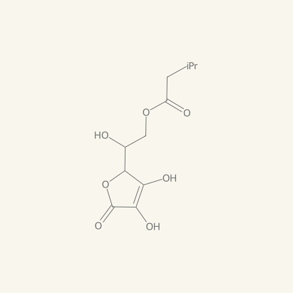 CC(C)CC(=O)OCC(O)C1OC(=O)C(O)=C1O